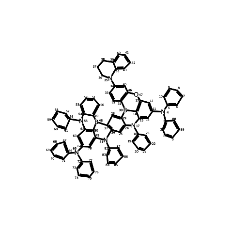 c1ccc(N(c2ccccc2)c2cc3c4c(c2)N(c2ccccc2)c2cc5c(cc2B4c2ccc(N4CCCc6ccccc64)cc2O3)B2c3ccccc3N(c3ccccc3)c3cc(N(c4ccccc4)c4ccccc4)cc(c32)N5c2ccccc2)cc1